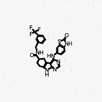 O=C(NCc1cccc(C(F)(F)F)c1)C1CCc2[nH]c3ncnc(Nc4ccc5[nH]c(=O)sc5c4)c3c2C1